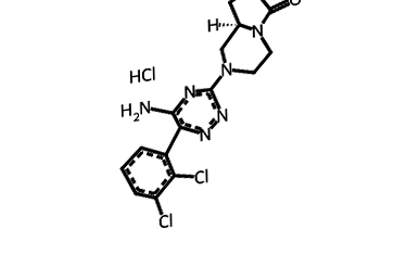 Cl.Nc1nc(N2CCN3C(=O)OC[C@@H]3C2)nnc1-c1cccc(Cl)c1Cl